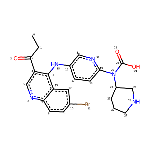 CCC(=O)c1cnc2ccc(Br)cc2c1Nc1ccc(N(C(=O)O)C2CCCNC2)nc1